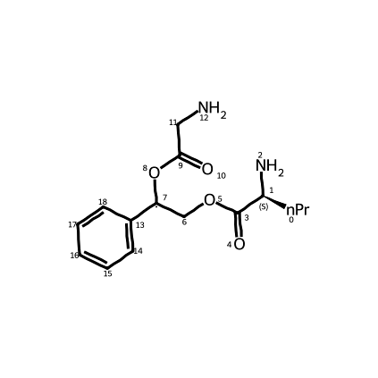 CCC[C@H](N)C(=O)OC[C](OC(=O)CN)c1ccccc1